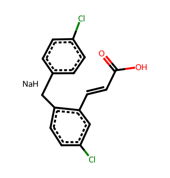 O=C(O)/C=C/c1cc(Cl)ccc1Cc1ccc(Cl)cc1.[NaH]